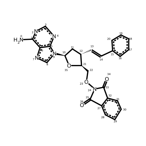 Nc1ncnc2c1ncn2[C@H]1C[C@H](C=Cc2ccccc2)[C@@H](CON2C(=O)c3ccccc3C2=O)O1